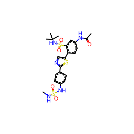 CNS(=O)(=O)Nc1ccc(-c2ncc(-c3ccc(NC(C)=O)cc3S(=O)(=O)NC(C)(C)C)s2)cc1